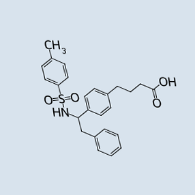 Cc1ccc(S(=O)(=O)NC(Cc2ccccc2)c2ccc(CCCC(=O)O)cc2)cc1